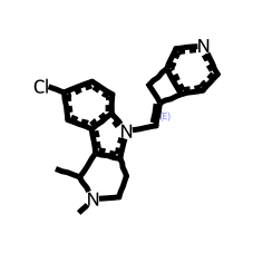 CC1c2c(n(/C=C3\Cc4cnccc43)c3ccc(Cl)cc23)CCN1C